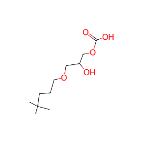 CC(C)(C)CCCOCC(O)COC(=O)O